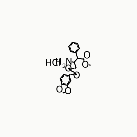 COC(=O)C(c1ccccc1)C(N)CS(=O)(=O)c1ccc2c(c1)OCO2.Cl